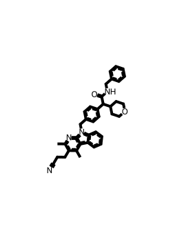 Cc1nc2c(c(C)c1CCC#N)c1ccccc1n2Cc1ccc(C(C(=O)NCc2ccccc2)C2CCOCC2)cc1